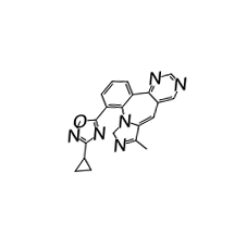 CC1=NCN2C1=Cc1cncnc1-c1cccc(-c3nc(C4CC4)no3)c12